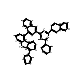 c1ccc(-c2nc(-c3ccc4ccccc4c3)nc(-c3cc(-c4cccc5oc6c(-c7ccccc7)cccc6c45)c4ccccc4c3)n2)cc1